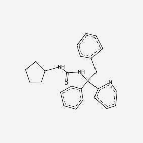 O=C(NC1CCCC1)NC(Cc1ccccc1)(c1ccccc1)c1ccccn1